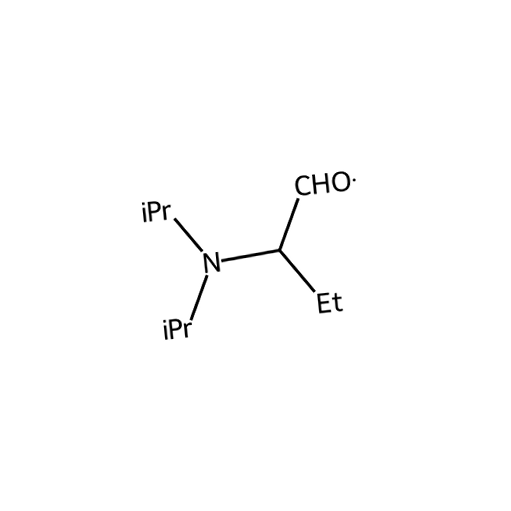 CCC([C]=O)N(C(C)C)C(C)C